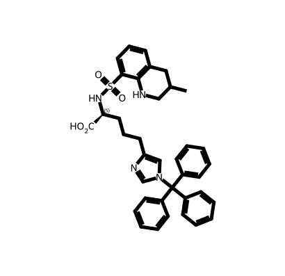 CC1CNc2c(cccc2S(=O)(=O)N[C@@H](CCCc2cn(C(c3ccccc3)(c3ccccc3)c3ccccc3)cn2)C(=O)O)C1